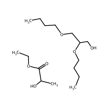 CCCCOCC(CO)OCCCC.CCOC(=O)C(C)O